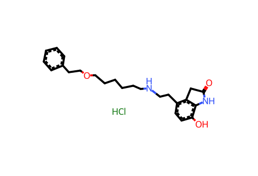 Cl.O=C1Cc2c(CCNCCCCCCOCCc3ccccc3)ccc(O)c2N1